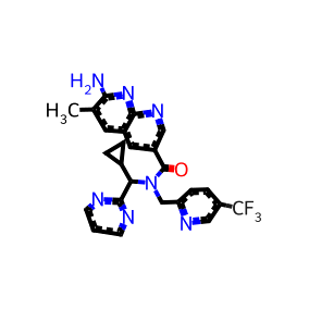 Cc1cc2cc(C(=O)N(Cc3ccc(C(F)(F)F)cn3)C(c3ncccn3)C3CC3)cnc2nc1N